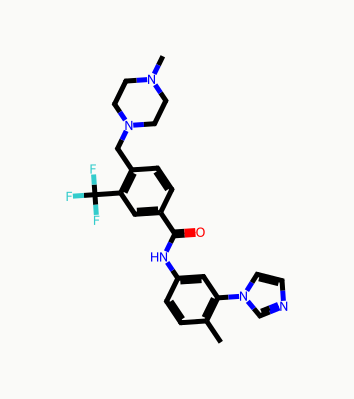 Cc1ccc(NC(=O)c2ccc(CN3CCN(C)CC3)c(C(F)(F)F)c2)cc1-n1ccnc1